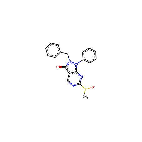 C[S+]([O-])c1ncc2c(=O)n(Cc3ccccc3)n(-c3ccccc3)c2n1